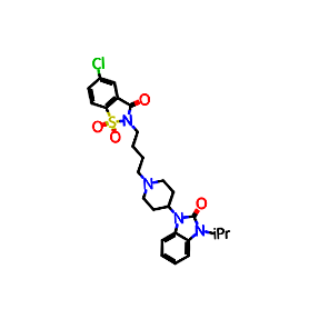 CC(C)n1c(=O)n(C2CCN(CCCCN3C(=O)c4cc(Cl)ccc4S3(=O)=O)CC2)c2ccccc21